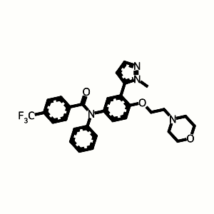 Cn1nccc1-c1cc(N(C(=O)c2ccc(C(F)(F)F)cc2)c2ccccc2)ccc1OCCN1CCOCC1